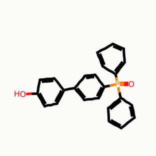 O=P(c1ccccc1)(c1ccccc1)c1ccc(-c2ccc(O)cc2)cc1